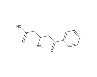 NC(CC(=O)O)CC(=O)c1ccccc1